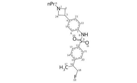 CCCN1CC(c2ccc(NS(=O)(=O)c3ccc(C(C)CF)cc3)cc2)C1